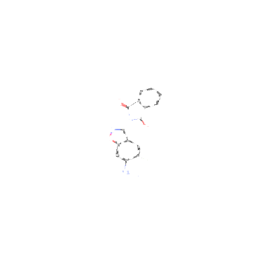 Nc1cc2onc(N3C(=O)c4ccccc4C3=O)c2cc1F